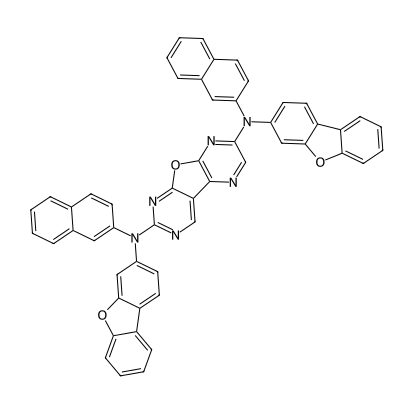 c1ccc2cc(N(c3ccc4c(c3)oc3ccccc34)c3cnc4c(n3)oc3nc(N(c5ccc6ccccc6c5)c5ccc6c(c5)oc5ccccc56)ncc34)ccc2c1